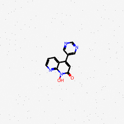 O=c1cc(-c2cncnc2)c2cccnc2n1O